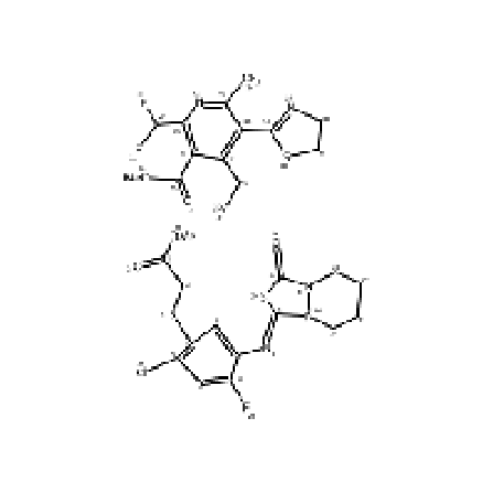 COC(=O)CSc1cc(/N=c2\sc(=O)n3n2CCCC3)c(F)cc1Cl.COC(=O)c1c(C(F)F)nc(C(F)(F)F)c(C2=NCCS2)c1CC(C)C